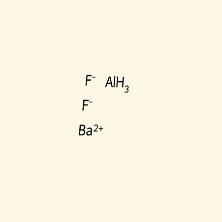 [AlH3].[Ba+2].[F-].[F-]